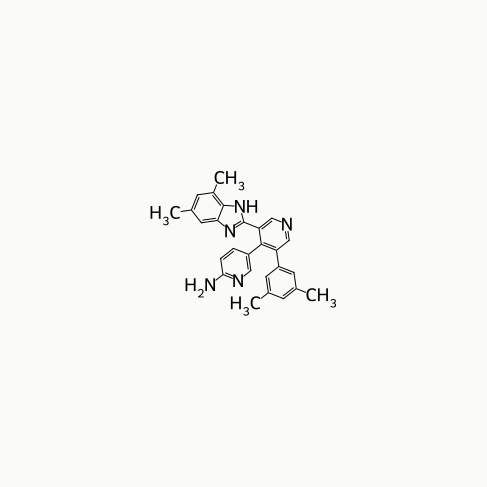 Cc1cc(C)cc(-c2cncc(-c3nc4cc(C)cc(C)c4[nH]3)c2-c2ccc(N)nc2)c1